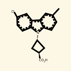 Cc1ccc2c(c1)c1cc(Cl)ccc1n2[C@H]1C[C@H](C(=O)O)C1